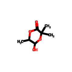 CC1OC(=O)C(C)(C)OC1O